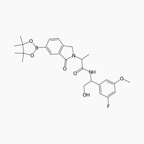 COc1cc(F)cc(C(CO)NC(=O)C(C)N2Cc3ccc(B4OC(C)(C)C(C)(C)O4)cc3C2=O)c1